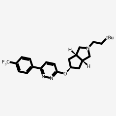 CC(C)(C)CCN1C[C@H]2C[C@H](Oc3ccc(-c4ccc(C(F)(F)F)cc4)nn3)C[C@H]2C1